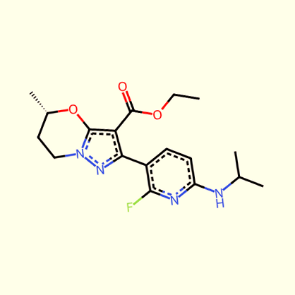 CCOC(=O)c1c(-c2ccc(NC(C)C)nc2F)nn2c1O[C@@H](C)CC2